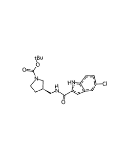 CC(C)(C)OC(=O)N1CC[C@H](CNC(=O)c2cc3cc(Cl)ccc3[nH]2)C1